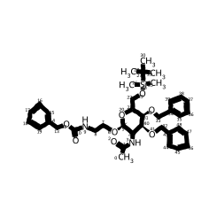 CC(=O)NC1[C@@H](OCCNC(=O)OCc2ccccc2)OC(CO[Si](C)(C)C(C)(C)C)[C@@H](OCc2ccccc2)[C@H]1OCc1ccccc1